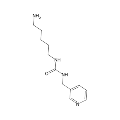 NCCCCCNC(=O)NCc1cccnc1